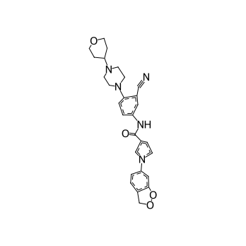 N#Cc1cc(NC(=O)c2ccn(-c3ccc4c(c3)OOC4)c2)ccc1N1CCN(C2CCOCC2)CC1